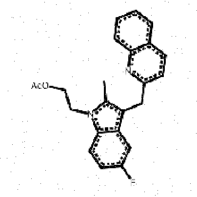 CC(=O)OCCn1c(C)c(Cc2ccc3ccccc3n2)c2cc(F)ccc21